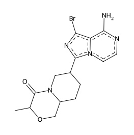 CC1OCC2CCC(c3nc(Br)c4c(N)nccn34)CN2C1=O